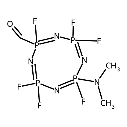 CN(C)P1(F)=NP(F)(F)=NP(F)(C=O)=NP(F)(F)=N1